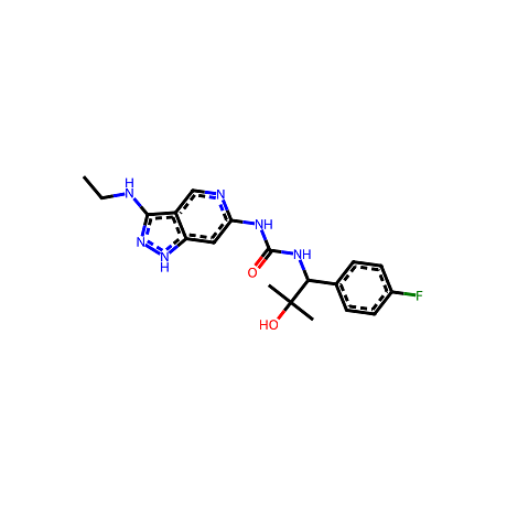 CCNc1n[nH]c2cc(NC(=O)NC(c3ccc(F)cc3)C(C)(C)O)ncc12